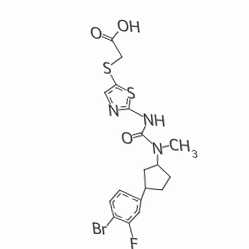 CN(C(=O)Nc1ncc(SCC(=O)O)s1)C1CCC(c2ccc(Br)c(F)c2)C1